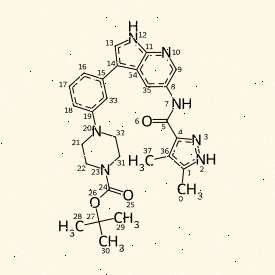 Cc1[nH]nc(C(=O)Nc2cnc3[nH]cc(-c4cccc(N5CCN(C(=O)OC(C)(C)C)CC5)c4)c3c2)c1C